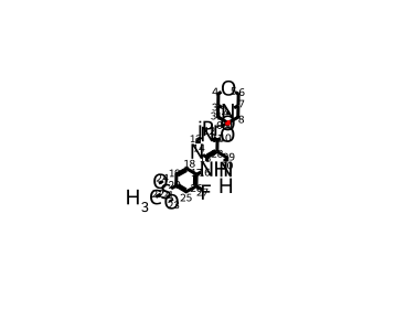 CC(C)ON1C2COCC1CC(Oc1ncnc(Nc3ccc(S(C)(=O)=O)cc3F)c1C=N)C2